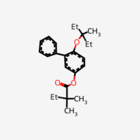 CCC(C)(CC)Oc1ccc(OC(=O)C(C)(C)CC)cc1-c1ccccc1